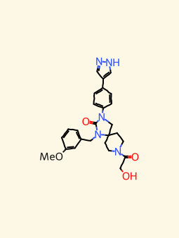 COc1cccc(CN2C(=O)N(c3ccc(-c4cn[nH]c4)cc3)CC23CCN(C(=O)CO)CC3)c1